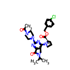 CC(=O)N1CCN(c2nc3c(c(N4CCC[C@@H]4C(=O)OCc4ccc(Cl)cc4)n2)CN(C(C)C)C3=O)CC1